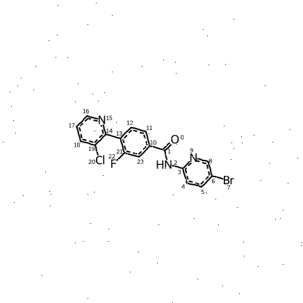 O=C(Nc1ccc(Br)cn1)c1ccc(-c2ncccc2Cl)c(F)c1